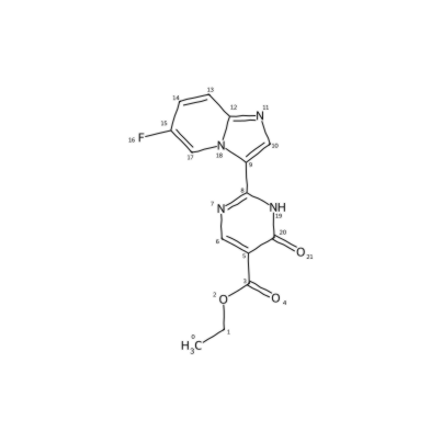 CCOC(=O)c1cnc(-c2cnc3ccc(F)cn23)[nH]c1=O